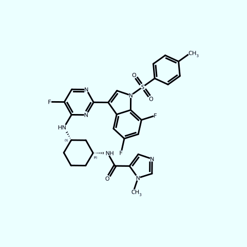 Cc1ccc(S(=O)(=O)n2cc(-c3ncc(F)c(N[C@H]4CCC[C@@H](NC(=O)c5cncn5C)C4)n3)c3cc(F)cc(F)c32)cc1